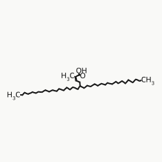 CCCCCCCCCCCCCCCCCCC(CC=C(C)C(=O)O)CCCCCCCCCCCCCCCCCC